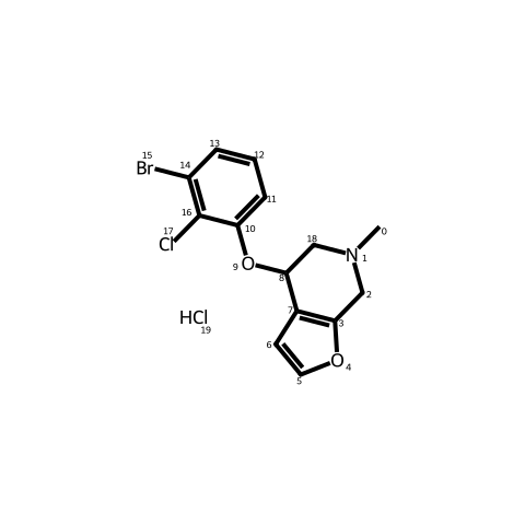 CN1Cc2occc2C(Oc2cccc(Br)c2Cl)C1.Cl